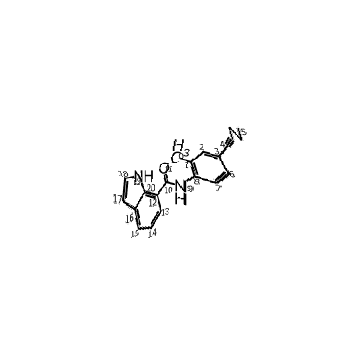 Cc1cc(C#N)ccc1NC(=O)c1cccc2cc[nH]c12